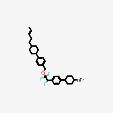 CC=CCCC1CCC(c2ccc(COC(F)(F)C(F)c3ccc(C4CCC(CCC)CC4)cc3)cc2)CC1